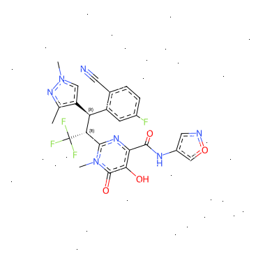 Cc1nn(C)cc1[C@@H](c1cc(F)ccc1C#N)[C@H](c1nc(C(=O)Nc2cnoc2)c(O)c(=O)n1C)C(F)(F)F